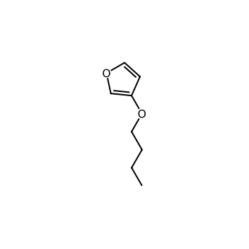 CCCCOc1ccoc1